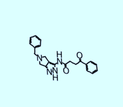 O=C(CCC(=O)c1ccccc1)Nc1[nH]nc2c1CN(Cc1ccccc1)C2